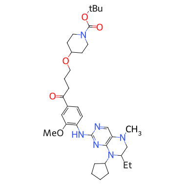 CCC1CN(C)c2cnc(Nc3ccc(C(=O)CCCOC4CCN(C(=O)OC(C)(C)C)CC4)cc3OC)nc2N1C1CCCC1